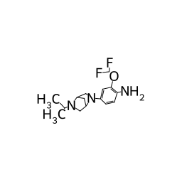 CC(C)N1CC2CC1CN2c1ccc(N)c(OC(F)F)c1